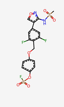 CS(=O)(=O)Nc1nocc1-c1cc(F)c(COc2ccc(OS(=O)(=O)F)cc2)c(F)c1